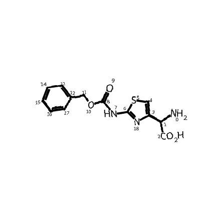 NC(C(=O)O)c1csc(NC(=O)OCc2ccccc2)n1